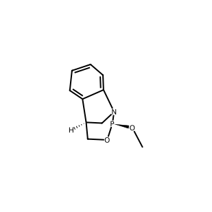 CO[P@@]1OC[C@@H]2CN1c1ccccc12